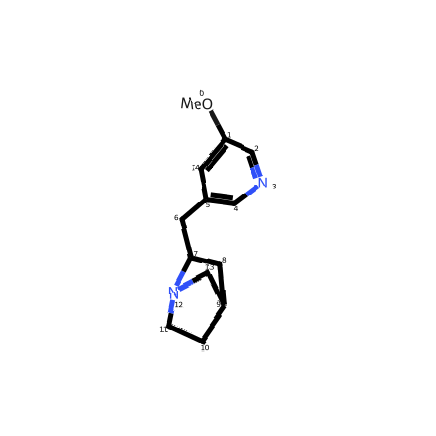 COc1cncc(CC2CC3CCN2C3)c1